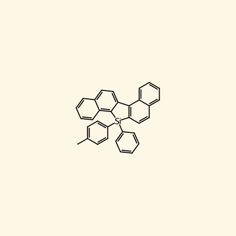 Cc1ccc([Si]2(c3ccccc3)c3ccc4ccccc4c3-c3ccc4ccccc4c32)cc1